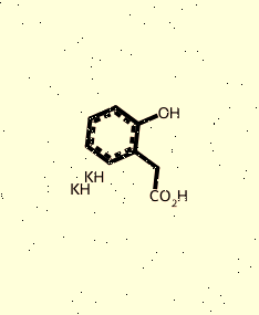 O=C(O)Cc1ccccc1O.[KH].[KH]